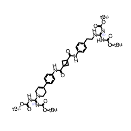 CC(C)(C)OC(=O)/N=C(/NC(=O)OC(C)(C)C)N1CC=C(c2ccc(NC(=O)C34CC(C(=O)Nc5ccc(CCN/C(=N\C(=O)OC(C)(C)C)NC(=O)OC(C)(C)C)cc5)(C3)C4)cc2)CC1